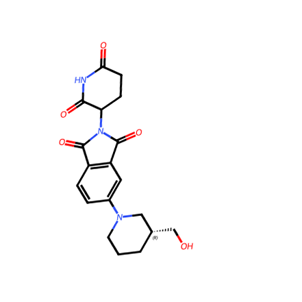 O=C1CCC(N2C(=O)c3ccc(N4CCC[C@@H](CO)C4)cc3C2=O)C(=O)N1